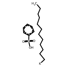 CCCCCCCCCCC[CH2][K].O=S(=O)(O)c1ccccc1